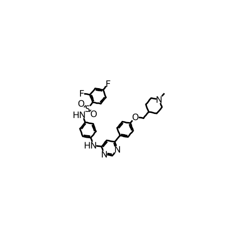 CN1CCC(COc2ccc(-c3cc(Nc4ccc(NS(=O)(=O)c5ccc(F)cc5F)cc4)ncn3)cc2)CC1